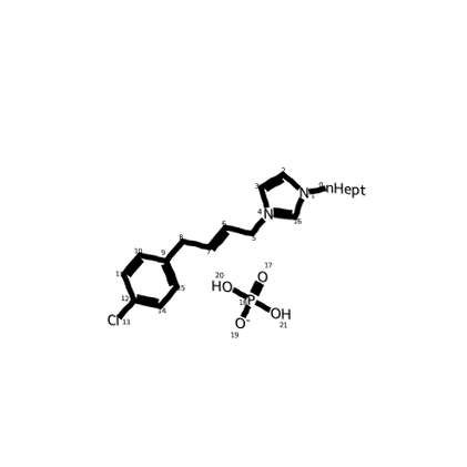 CCCCCCCn1cc[n+](CC=CCc2ccc(Cl)cc2)c1.O=P([O-])(O)O